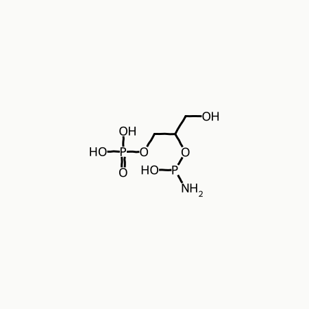 NP(O)OC(CO)COP(=O)(O)O